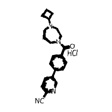 Cl.N#Cc1ccc(-c2ccc(C(=O)N3CCCN(C4CCC4)CC3)cc2)cn1